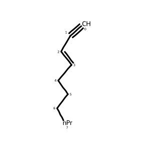 C#CC=CCCCCC[CH2]